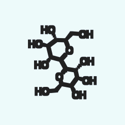 OC[C@H]1O[C](C2O[C@H](CO)[C@@H](O)[C@H](O)[C@H]2O)[C@H](O)[C@@H](O)[C@H]1O